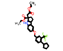 CCOC(=O)CC1(C(=O)OCC)CCc2c1[nH]c1ccc(OCc3ccc(C4CCCC4)c(C(F)(F)F)c3)cc21